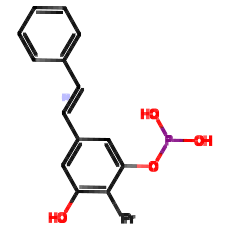 CC(C)c1c(O)cc(/C=C/c2ccccc2)cc1OP(O)O